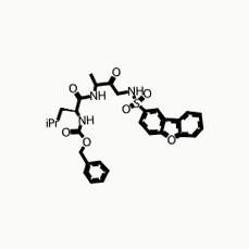 CC(C)C[C@H](NC(=O)OCc1ccccc1)C(=O)NC(C)C(=O)CNS(=O)(=O)c1ccc2oc3ccccc3c2c1